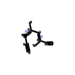 C#C/N=C(C)\C=C(/C)N=O